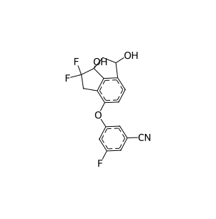 N#Cc1cc(F)cc(Oc2ccc3c4c2CC(F)(F)C4(O)CC3O)c1